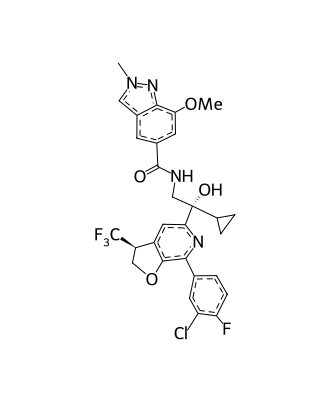 COc1cc(C(=O)NC[C@](O)(c2cc3c(c(-c4ccc(F)c(Cl)c4)n2)OC[C@H]3C(F)(F)F)C2CC2)cc2cn(C)nc12